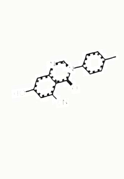 Cc1ccc(-n2cnc3cc(O)cc(C#N)c3c2=O)cc1